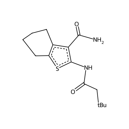 CC(C)(C)CC(=O)Nc1sc2c(c1C(N)=O)CCCC2